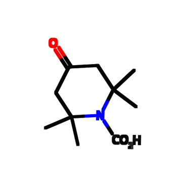 CC1(C)CC(=O)CC(C)(C)N1C(=O)O